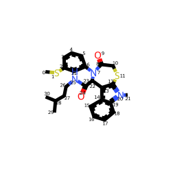 CSc1cccc(N2C(=O)CSc3c(c4ccccc4n3C)C2C(=O)NCCC(C)C)c1